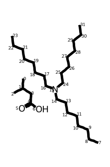 CC(C)CC(=O)O.CCCCCCCCN(CCCCCCCC)CCCCCCCC